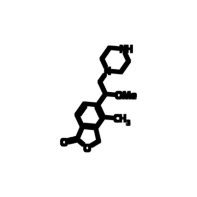 COC(CN1CCNCC1)c1ccc2c(c1C)COC2=O